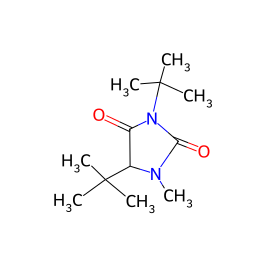 CN1C(=O)N(C(C)(C)C)C(=O)C1C(C)(C)C